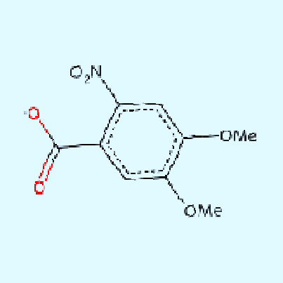 COc1cc(C([O])=O)c([N+](=O)[O-])cc1OC